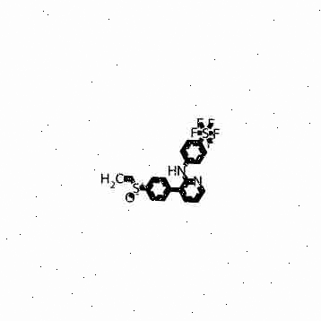 C=C[S+]([O-])c1ccc(-c2cccnc2Nc2ccc(S(F)(F)(F)(F)F)cc2)cc1